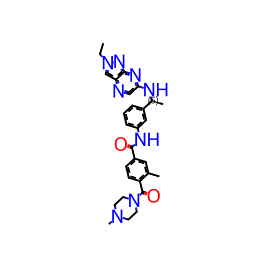 CCn1cc2ncc(N[C@@H](C)c3cccc(NC(=O)c4ccc(C(=O)N5CCN(C)CC5)c(C)c4)c3)nc2n1